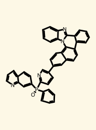 O=P(c1ccccc1)(c1ccc2cccnc2c1)c1ccc(-c2ccc3c(ccc4c5ccccc5c5nc6ccccc6n5c34)c2)cn1